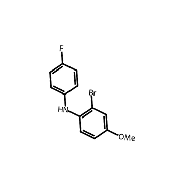 COc1ccc(Nc2ccc(F)cc2)c(Br)c1